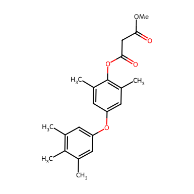 COC(=O)CC(=O)Oc1c(C)cc(Oc2cc(C)c(C)c(C)c2)cc1C